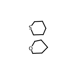 C1CCOCC1.C1CCSCC1